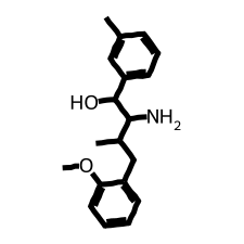 COc1ccccc1CC(C)C(N)C(O)c1cccc(C)c1